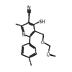 COCOCc1c(-c2ccc(C)cc2)nc(C)c(C#N)c1S